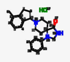 Cc1cccc2c1CCC2N1CCC2(CC1)C(=O)NCN2c1ccccc1.Cl